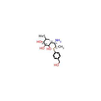 CSC1C[C@H]([C@H](N)[C@H](C)Sc2ccc(CO)cc2)C(O)[C@@H](O)[C@H]1O